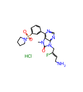 Cl.Cn1c(=O)n(C/C(F)=C/CN)c2ncnc(-c3cccc(S(=O)(=O)N4CCCC4)c3)c21